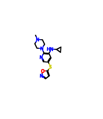 CN1CCN(c2ncc(Sc3ccno3)cc2NC2CC2)CC1